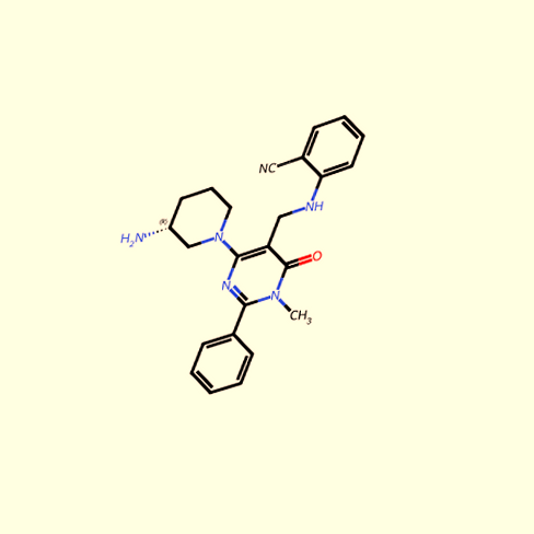 Cn1c(-c2ccccc2)nc(N2CCC[C@@H](N)C2)c(CNc2ccccc2C#N)c1=O